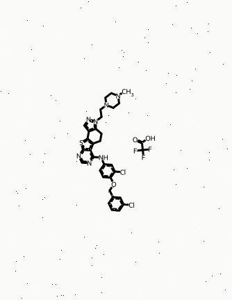 CN1CCN(CCn2ncc3c2CCc2c-3sc3ncnc(Nc4ccc(OCc5cccc(Cl)c5)c(Cl)c4)c23)CC1.O=C(O)C(F)(F)F